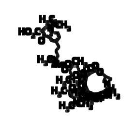 CO[C@]1(C)C[C@H](O[C@H]2[C@H](C)[C@@H](O[C@@H]3O[C@H](C)C[C@H](N(C)C)[C@H]3O)[C@@](C)(OC)C[C@@H](C)[C@H](O)[C@H](C)N3CC(C3)OC(=O)[C@@H]2C)O[C@@H](C)[C@@H]1OCCN(C)CCCc1ccc2c(c1)c(=O)c(C(=O)O)cn2N(C)C